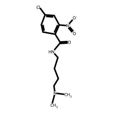 CN(C)CCCCNC(=O)c1ccc(Cl)cc1[N+](=O)[O-]